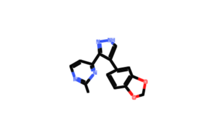 Cc1nccc(-c2n[nH]cc2-c2ccc3c(c2)OCO3)n1